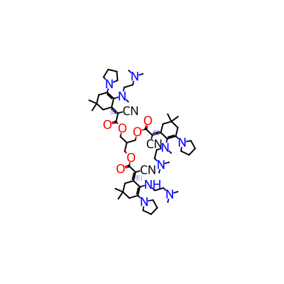 CN(C)CCNC1=C(N2CCCC2)CC(C)(C)C/C1=C(/C#N)C(=O)OCC(COC(=O)/C(C#N)=C1\CC(C)(C)CC(N2CCCC2)=C1N(C)CCN(C)C)COC(=O)/C(C#N)=C1\CC(C)(C)CC(N2CCCC2)=C1N(C)CCN(C)C